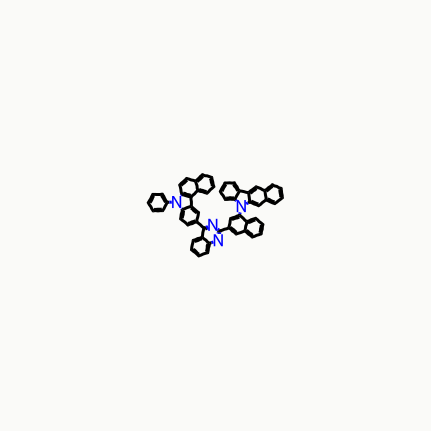 c1ccc(-n2c3ccc(-c4nc(-c5cc(-n6c7ccccc7c7cc8ccccc8cc76)c6ccccc6c5)nc5ccccc45)cc3c3c4ccccc4ccc32)cc1